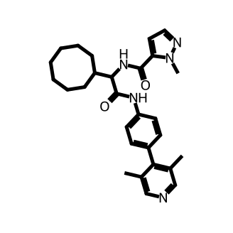 Cc1cncc(C)c1-c1ccc(NC(=O)C(NC(=O)c2ccnn2C)C2CCCCCCC2)cc1